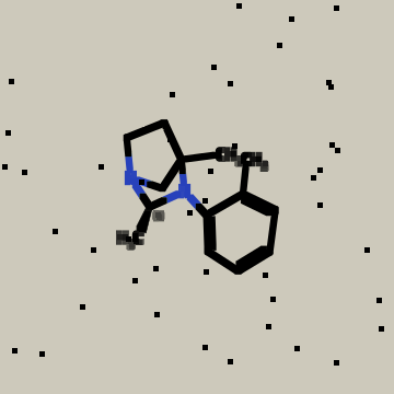 Cc1ccccc1N1[C@@H](C)N2CCC1(C)C2